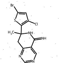 CC1(c2sc(Br)cc2Cl)Cc2ncncc2C(=N)N1